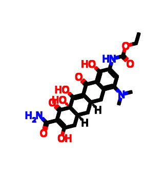 CCOC(=O)Nc1cc(N(C)C)c2c(c1O)C(=O)C1=C(O)[C@]3(O)C(=O)C(C(N)=O)=C(O)C[C@@H]3C[C@@H]1C2